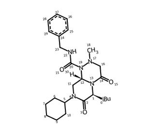 CCC(C)[C@H]1C(=O)N(C2CCCCC2)C[C@H]2N1C(=O)CN(C)N2C(=O)NCc1ccccc1